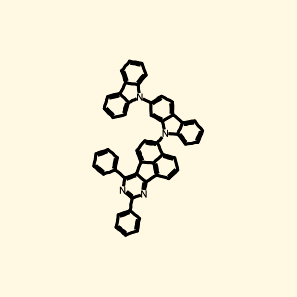 c1ccc(-c2nc(-c3ccccc3)c3c(n2)-c2cccc4c(-n5c6ccccc6c6ccc(-n7c8ccccc8c8ccccc87)cc65)ccc-3c24)cc1